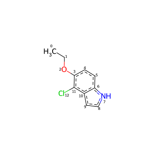 CCOc1ccc2[nH]ccc2c1Cl